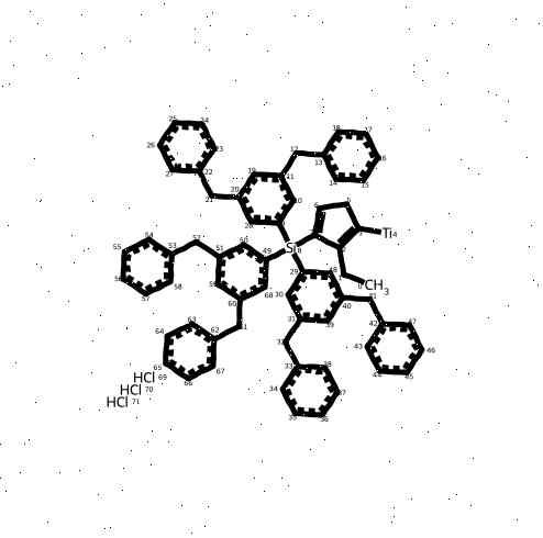 CCC1=[C]([Ti])CC=C1[Si](c1cc(Cc2ccccc2)cc(Cc2ccccc2)c1)(c1cc(Cc2ccccc2)cc(Cc2ccccc2)c1)c1cc(Cc2ccccc2)cc(Cc2ccccc2)c1.Cl.Cl.Cl